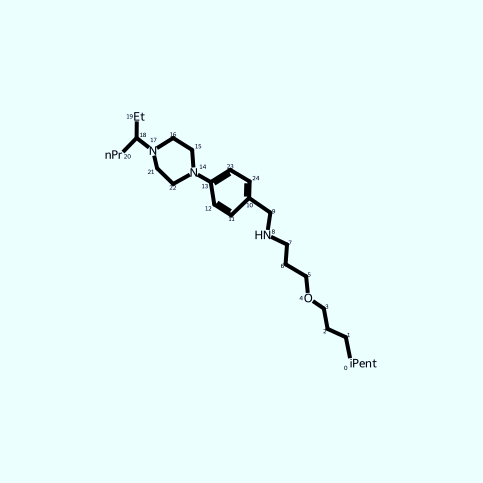 CCCC(C)CCCOCCCNCc1ccc(N2CCN(C(CC)CCC)CC2)cc1